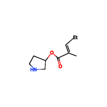 CCC=C(C)C(=O)OC1CCNC1